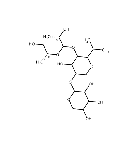 CC(C)C1OCC(OC2OCC(O)C(O)C2O)C(O)C1OC(O[C@H](C)CO)[C@H](C)O